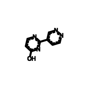 Oc1ccnc(-c2ccnnc2)n1